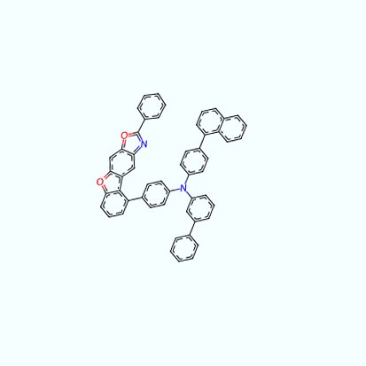 c1ccc(-c2cccc(N(c3ccc(-c4cccc5ccccc45)cc3)c3ccc(-c4cccc5oc6cc7oc(-c8ccccc8)nc7cc6c45)cc3)c2)cc1